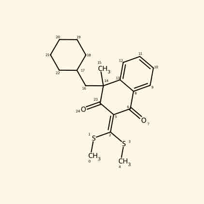 CSC(SC)=C1C(=O)c2ccccc2C(C)(CC2CCCCC2)C1=O